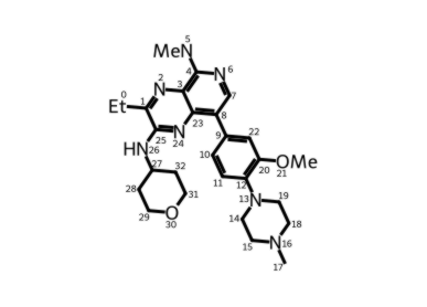 CCc1nc2c(NC)ncc(-c3ccc(N4CCN(C)CC4)c(OC)c3)c2nc1NC1CCOCC1